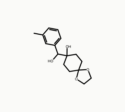 Cc1cccc(C(O)C2(O)CCC3(CC2)OCCO3)c1